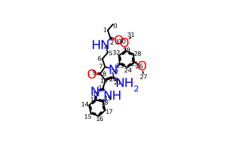 CCC(=O)NCCC1C(=O)C(c2nc3ccccc3[nH]2)=C(N)N1c1cc(OC)cc(OC)c1